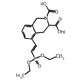 CCOP(=O)(C=Cc1cccc2c1CC(C(=O)O)N(C(=O)O)C2)OCC